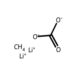 C.O=C([O-])[O-].[Li+].[Li+]